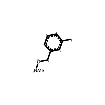 CNOCc1cccc(C)c1